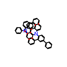 c1ccc(-c2ccc(N(c3ccccc3-c3cccc4cccc(-c5ccccc5)c34)c3cccc4c3c3ccccc3n4-c3ccccc3)c(-c3ccccc3)c2)cc1